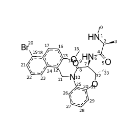 CN[C@@H](C)C(=O)N[C@@H]1C(=O)N(Cc2c(OC)ccc3c(Br)cccc23)c2ccccc2O[C@H]1C